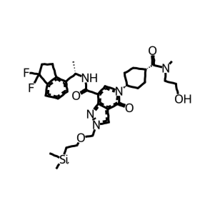 C[C@H](NC(=O)c1cn([C@H]2CC[C@@H](C(=O)N(C)CCO)CC2)c(=O)c2cn(COCC[Si](C)(C)C)nc12)c1cccc2c1CCC2(F)F